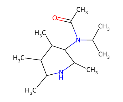 CC(=O)N(C(C)C)C1C(C)NC(C)C(C)C1C